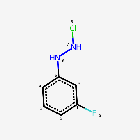 Fc1cccc(NNCl)c1